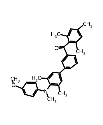 COc1ccc(N(C)c2c(C)cc(-c3cccc(C(=O)c4c(C)cc(C)cc4C)c3)cc2C)cc1